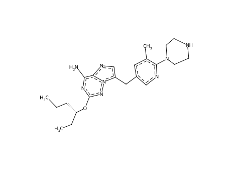 CCC[C@@H](CC)Oc1nc(N)c2ncc(Cc3cnc(N4CCNCC4)c(C)c3)n2n1